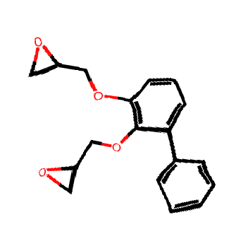 c1ccc(-c2cccc(OCC3CO3)c2OCC2CO2)cc1